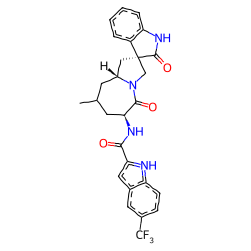 CC1C[C@@H]2C[C@@]3(CN2C(=O)[C@@H](NC(=O)c2cc4cc(C(F)(F)F)ccc4[nH]2)C1)C(=O)Nc1ccccc13